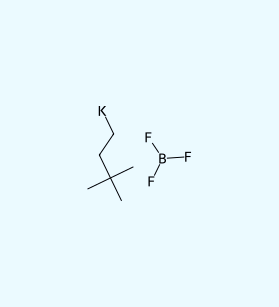 CC(C)(C)C[CH2][K].FB(F)F